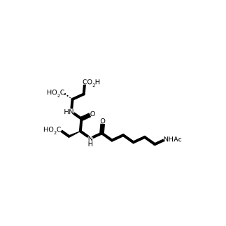 CC(=O)NCCCCCC(=O)N[C@@H](CC(=O)O)C(=O)N[C@@H](CC(=O)O)C(=O)O